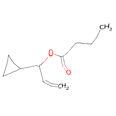 C=CC(OC(=O)CCC)C1CC1